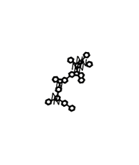 c1ccc(-c2ccc(-c3cc(-c4ccc(-n5c6ccccc6c6cc(-c7ccc8c(c7)c7c9ccccc9ccc7n8-c7nc(-c8ccccc8)c8nc(-c9ccccc9)n(-c9ccccc9)c8n7)ccc65)cc4)nc(-c4ccccc4)n3)cc2)cc1